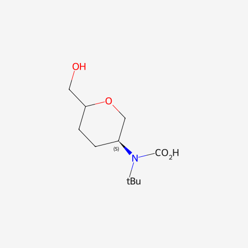 CC(C)(C)N(C(=O)O)[C@H]1CCC(CO)OC1